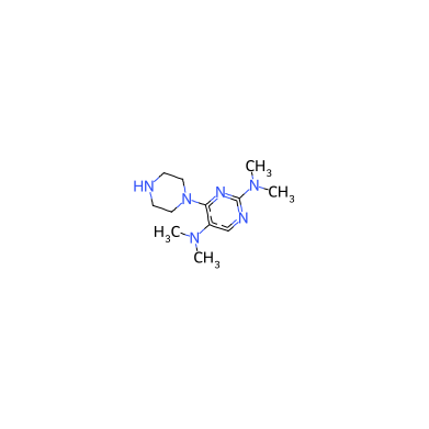 CN(C)c1ncc(N(C)C)c(N2CCNCC2)n1